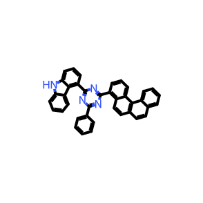 c1ccc(-c2nc(-c3cccc4c3ccc3ccc5ccccc5c34)nc(-c3cccc4[nH]c5ccccc5c34)n2)cc1